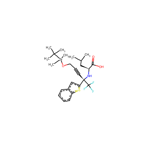 CC(C)C[C@H](N[C@@](C#CCO[Si](C)(C)C(C)(C)C)(c1cc2ccccc2s1)C(F)(F)F)C(=O)O